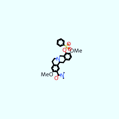 COc1cc2c(cc1C(=O)N(C)C)C1Cc3ccc(OC)c(OS(=O)(=O)c4ccccc4)c3CN1CC2